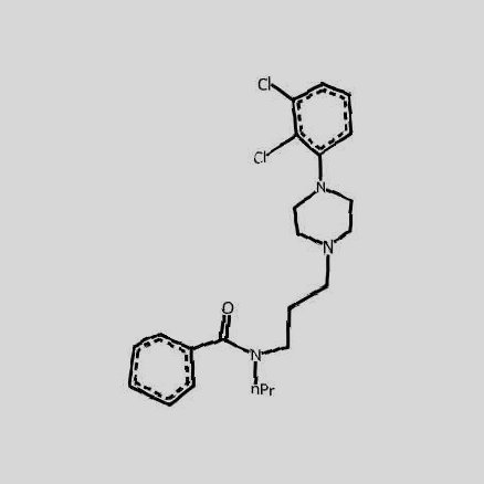 CCCN(CCCN1CCN(c2cccc(Cl)c2Cl)CC1)C(=O)c1ccccc1